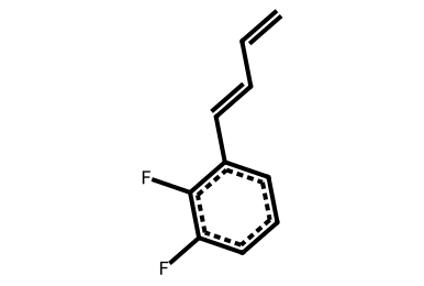 C=CC=Cc1cccc(F)c1F